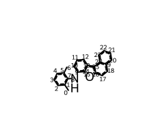 Cc1cccc(C)c1Nc1cccc2c1oc1ccc3ccccc3c12